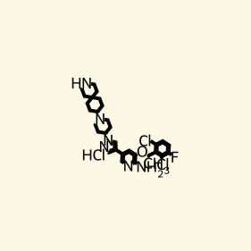 C[C@@H](Oc1cc(-c2cnn(C3CCN(C4CCC5(CCNCC5)CC4)CC3)c2)cnc1N)c1c(Cl)ccc(F)c1Cl.Cl